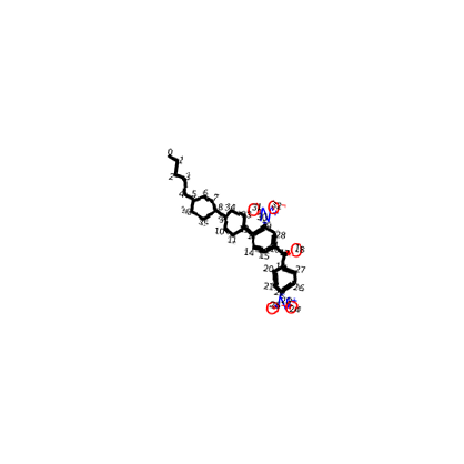 CCCCCC1CCC(C2CCC(c3ccc(C(=O)c4ccc([N+](=O)[O-])cc4)cc3[N+](=O)[O-])CC2)CC1